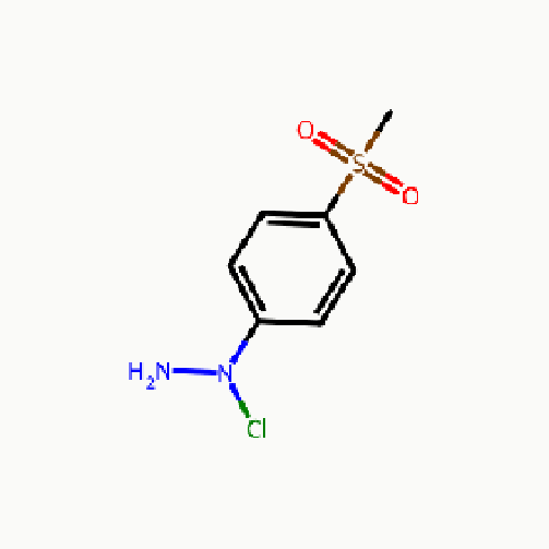 CS(=O)(=O)c1ccc(N(N)Cl)cc1